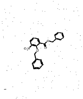 O=C(OCc1ccccc1)c1cccc([N+](=O)[O-])c1OCc1ccccc1